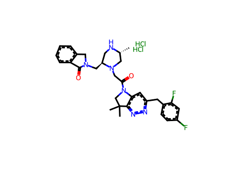 C[C@@H]1CN(CC(=O)N2CC(C)(C)c3nnc(Cc4ccc(F)cc4F)cc32)[C@@H](CN2Cc3ccccc3C2=O)CN1.Cl.Cl